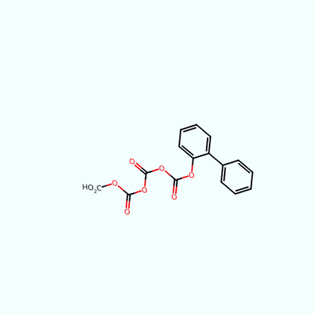 O=C(O)OC(=O)OC(=O)OC(=O)Oc1ccccc1-c1ccccc1